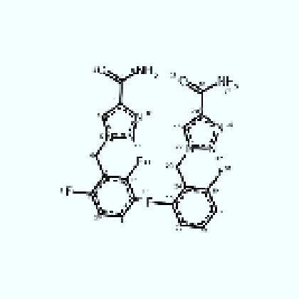 NC(=O)c1cn(Cc2c(F)cccc2F)nn1.NC(=O)c1cn(Cc2c(F)cccc2F)nn1